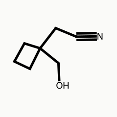 N#CCC1(CO)CCC1